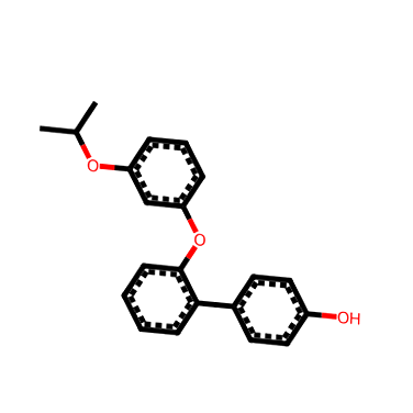 CC(C)Oc1cccc(Oc2ccccc2-c2ccc(O)cc2)c1